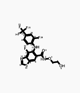 O=C(NOCCO)c1cc2scnc2c(F)c1Nc1ccc(C(F)(F)F)cc1F